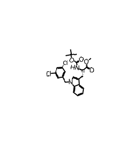 COC(=O)[C@H](Cc1cn(Cc2cc(Cl)cc(Cl)c2)c2ccccc12)NC(=O)OC(C)(C)C